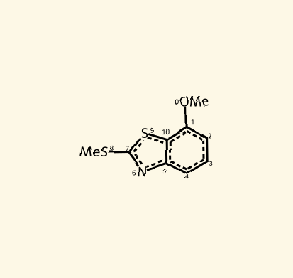 COc1cccc2nc(SC)sc12